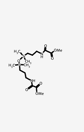 COC(=O)C(=O)NCCC[Si](C)(C)O[Si](C)(C)CCCNC(=O)C(=O)OC